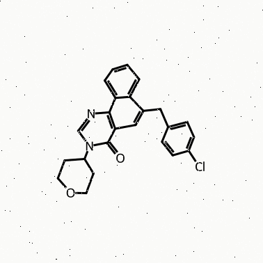 O=c1c2cc(Cc3ccc(Cl)cc3)c3ccccc3c2ncn1C1CCOCC1